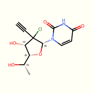 C#CC1(Cl)[C@@H](O)[C@@H]([C@H](C)O)O[C@H]1n1ccc(=O)[nH]c1=O